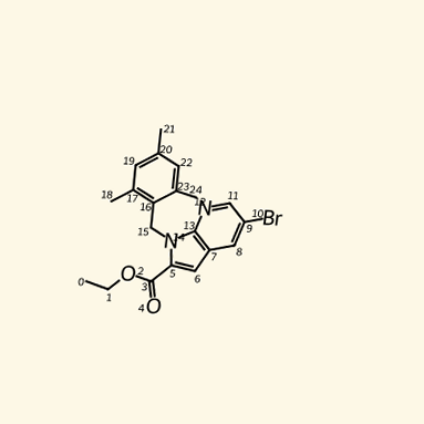 CCOC(=O)c1cc2cc(Br)cnc2n1Cc1c(C)cc(C)cc1C